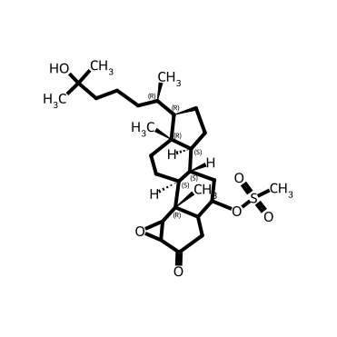 C[C@H](CCCC(C)(C)O)[C@H]1CC[C@H]2[C@@H]3CC(OS(C)(=O)=O)C4CC(=O)C5OC5[C@]4(C)[C@H]3CC[C@]12C